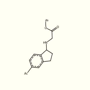 CC(=O)c1ccc2c(c1)CCC2NCC(=O)OC(C)C